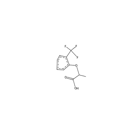 CC(Oc1ccccc1C(F)(F)F)C(=O)O